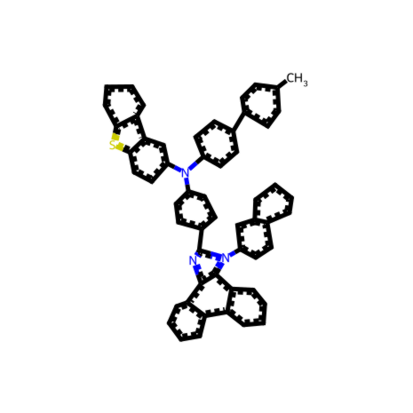 Cc1ccc(-c2ccc(N(c3ccc(-c4nc5c6ccccc6c6ccccc6c5n4-c4ccc5ccccc5c4)cc3)c3ccc4sc5ccccc5c4c3)cc2)cc1